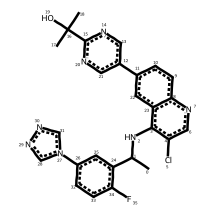 CC(Nc1c(Cl)cnc2ccc(-c3cnc(C(C)(C)O)nc3)cc12)c1cc(-n2cnnc2)ccc1F